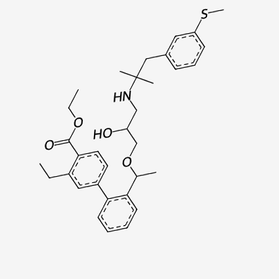 CCOC(=O)c1ccc(-c2ccccc2C(C)OCC(O)CNC(C)(C)Cc2cccc(SC)c2)cc1CC